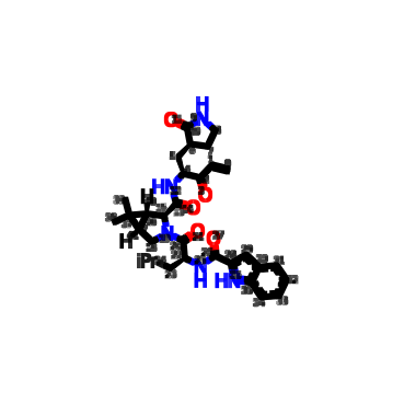 C=CC(=O)[C@H](C[C@@H]1CCNC1=O)NC(=O)[C@@H]1[C@@H]2[C@H](CN1C(=O)[C@H](CC(C)C)NC(=O)c1cc3ccccc3[nH]1)C2(C)C